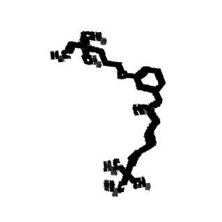 C=C[Si](C)(C)CCCOc1cccc(CNCC=CC#CC(C)(C)C)c1